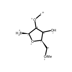 B[C@@H]1O[C@H](COC)C(O)C1OI